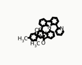 Cc1cc(C)c(N2C(=O)c3cccc(-n4c5c(-c6ccccn6)cccc5c5cccc(-c6ccccn6)c54)c3C2=O)c(C)c1